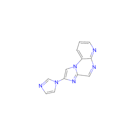 c1cnc2ncc3nc(-n4ccnc4)cn3c2c1